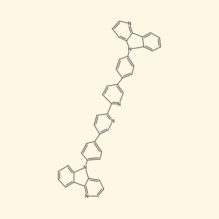 c1ccc2c(c1)c1ncccc1n2-c1ccc(-c2ccc(-c3ccc(-c4ccc(-n5c6ccccc6c6ncccc65)cc4)cn3)nc2)cc1